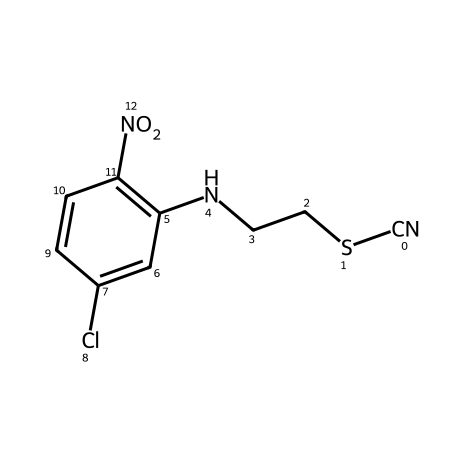 N#CSCCNc1cc(Cl)ccc1[N+](=O)[O-]